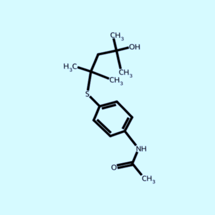 CC(=O)Nc1ccc(SC(C)(C)CC(C)(C)O)cc1